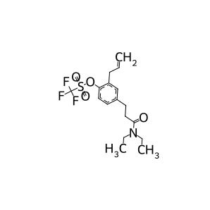 C=CCc1cc(CCC(=O)N(CC)CC)ccc1OS(=O)(=O)C(F)(F)F